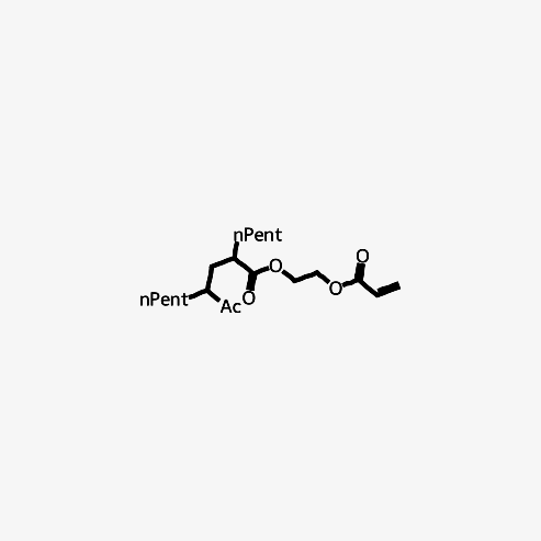 C=CC(=O)OCCOC(=O)C(CCCCC)CC(CCCCC)C(C)=O